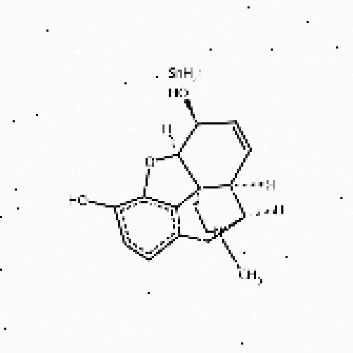 CN1CC[C@]23c4c5ccc(O)c4O[C@H]2[C@@H](O)C=C[C@H]3[C@H]1C5.[SnH2]